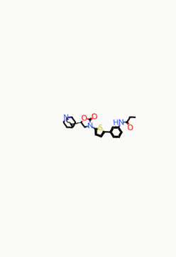 CCC(=O)Nc1cccc(-c2ccc(N3C[C@@H](C4CN5CCC4CC5)OC3=O)s2)c1